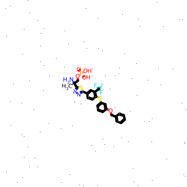 C[C@](N)(COP(=O)(O)O)c1nnc(-c2ccc(Sc3cccc(OCc4ccccc4)c3)c(C(F)(F)F)c2)s1